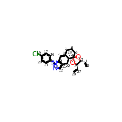 C=C[C@H]1OC2(CCCC3=Cc4c(cnn4-c4ccc(Cl)cc4)C[C@@]32C)O[C@@H]1C=C